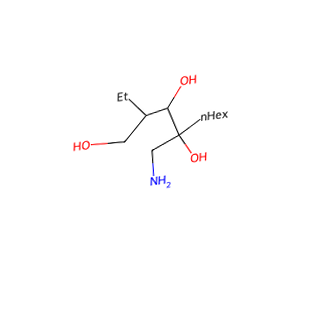 CCCCCCC(O)(CN)C(O)C(CC)CO